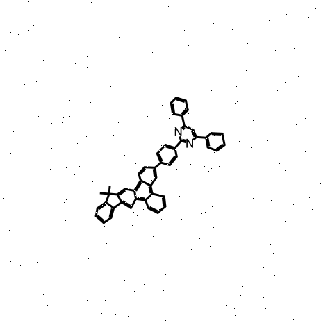 CC1(C)c2ccccc2-c2cc3c4ccccc4c4cc(-c5ccc(-c6nc(-c7ccccc7)cc(-c7ccccc7)n6)cc5)ccc4c3cc21